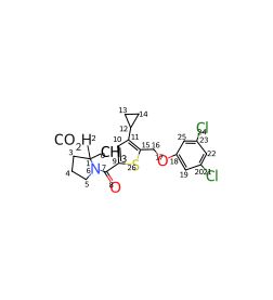 CC1(C(=O)O)CCCN1C(=O)c1cc(C2CC2)c(COc2cc(Cl)cc(Cl)c2)s1